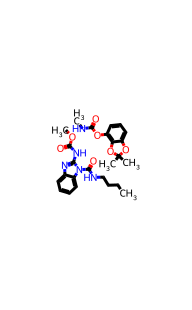 CCCCNC(=O)n1c(NC(=O)OC)nc2ccccc21.CNC(=O)Oc1cccc2c1OC(C)(C)O2